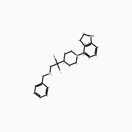 FC(F)(COCc1ccccc1)C1CCN(c2cccc3c2CCN3)CC1